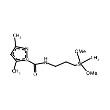 CO[Si](C)(CCCNC(=O)n1nc(C)cc1C)OC